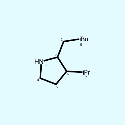 CCC(C)CC1NCCC1C(C)C